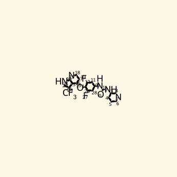 O=C(Nc1cccnc1)Nc1cc(F)c(Oc2ccnc3[nH]cc(C(F)(F)F)c23)c(F)c1